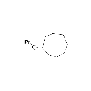 CC(C)OC1CC[CH]CCCC1